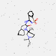 CCC(CC)N1CCC(C#N)(NC(=O)C(CC2CCCCC2)NC2=NS(=O)(=O)c3ccccc32)C1